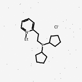 CC[n+]1ccccc1CCP(C1CCCC1)C1CCCC1.[Cl-]